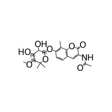 CO[C@@H]1[C@H](O)C(O)[C@H](Oc2ccc3cc(NC(C)=O)c(=O)oc3c2C)OC1(C)C